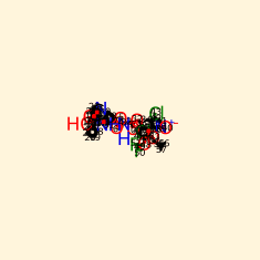 O=C(CNS(=O)(=O)c1cccc(NC(C(=O)O)(c2ccccc2)[C@H]2CN3CCC2CC3)c1)O[C@@H](Cc1c(Cl)c[n+]([O-])cc1Cl)c1ccc(OC(F)F)c(OCC2CC2)c1